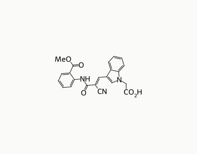 COC(=O)c1ccccc1NC(=O)/C(C#N)=C/c1cn(CC(=O)O)c2ccccc12